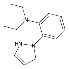 CCN(CC)c1ccccc1N1CC=CN1